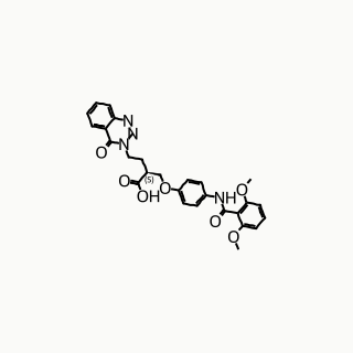 COc1cccc(OC)c1C(=O)Nc1ccc(OC[C@H](CCn2nnc3ccccc3c2=O)C(=O)O)cc1